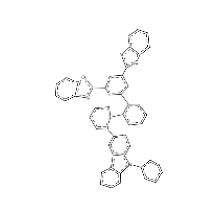 c1ccc(-n2c3ccccc3c3cc(-c4ccccc4-c4ccccc4-c4cc(-c5nc6ccccc6o5)cc(-c5nc6ccccc6o5)c4)ccc32)cc1